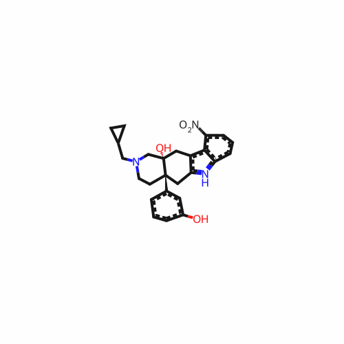 O=[N+]([O-])c1cccc2[nH]c3c(c12)C[C@]1(O)CN(CC2CC2)CC[C@@]1(c1cccc(O)c1)C3